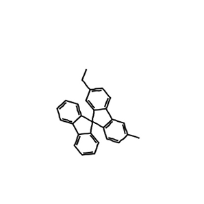 CCc1ccc2c(c1)C1(c3ccccc3-c3ccccc31)c1ccc(C)cc1-2